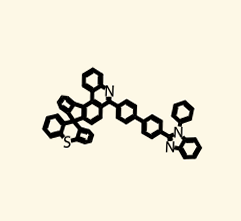 c1ccc(-n2c(-c3ccc(-c4ccc(-c5nc6ccccc6c6c7c(ccc56)C5(c6ccccc6Sc6ccccc65)c5ccccc5-7)cc4)cc3)nc3ccccc32)cc1